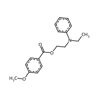 CCN(CCOC(=O)c1ccc(OC)cc1)c1ccccc1